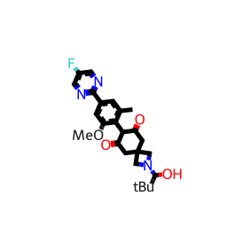 COc1cc(-c2ncc(F)cn2)cc(C)c1C1C(=O)CC2(CC1=O)CN(C(O)C(C)(C)C)C2